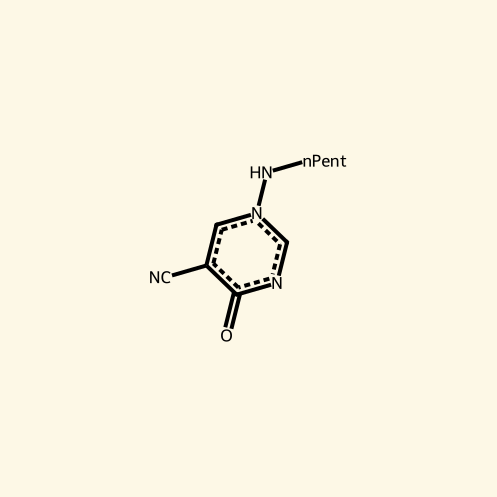 CCCCCNn1cnc(=O)c(C#N)c1